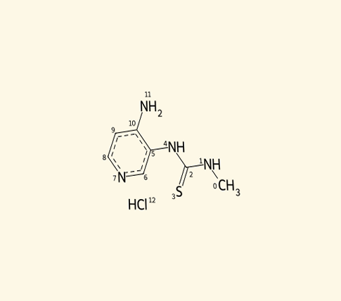 CNC(=S)Nc1cnccc1N.Cl